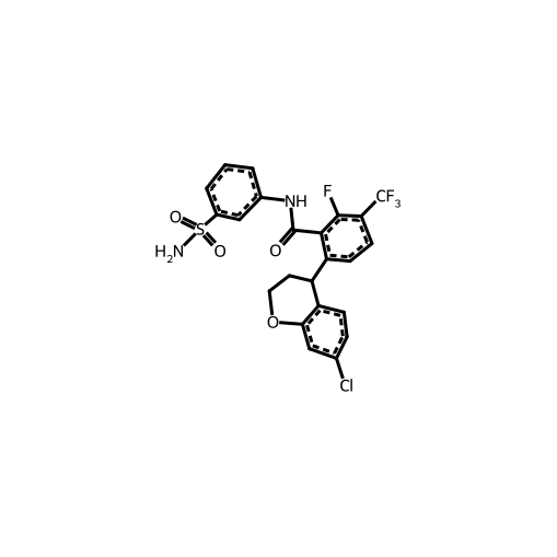 NS(=O)(=O)c1cccc(NC(=O)c2c(C3CCOc4cc(Cl)ccc43)ccc(C(F)(F)F)c2F)c1